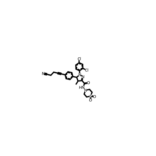 CC1C(C(=O)NN2CCS(=O)(=O)CC2)=NN(c2ccc(Cl)cc2Cl)C1c1ccc(C#CCCC#N)cc1